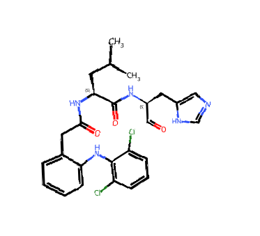 CC(C)C[C@H](NC(=O)Cc1ccccc1Nc1c(Cl)cccc1Cl)C(=O)N[C@H](C=O)Cc1cnc[nH]1